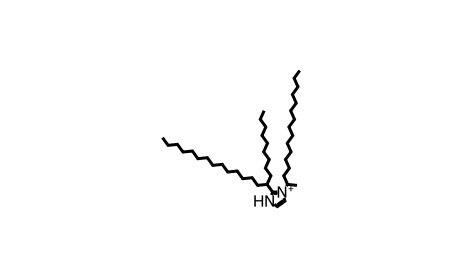 CCCCCCCCCCCCCCC(CCCCCCCCC)c1[nH]cc[n+]1C(C)CCCCCCCCCCCCCC